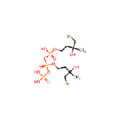 CC(O)(CBr)CCOP(=O)(O)OP(=O)(OCCC(C)(O)CBr)OP(=O)(O)O